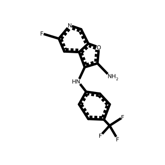 Nc1oc2cnc(F)cc2c1Nc1ccc(C(F)(F)F)cc1